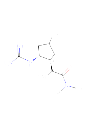 CCCN(CC)C(=O)C(NC(C)=O)[C@@H]1CC(C(=O)O)C[C@@H]1NC(=N)N